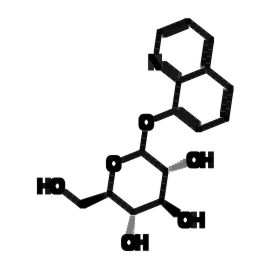 OC[C@H]1OC(Oc2cccc3cccnc23)[C@H](O)[C@@H](O)[C@@H]1O